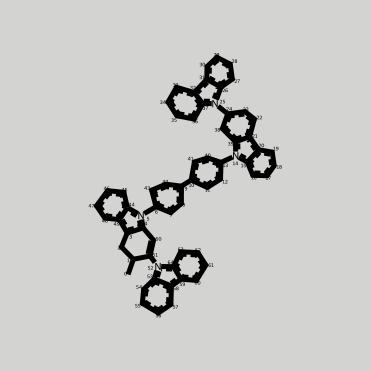 CC1Cc2c(n(-c3ccc(-c4ccc(-n5c6ccccc6c6ccc(-n7c8ccccc8c8ccccc87)cc65)cc4)cc3)c3ccccc23)C=C1n1c2ccccc2c2ccccc21